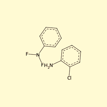 FN(F)c1ccccc1.Nc1ccccc1Cl